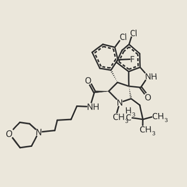 CN1C(CC(C)(C)C)[C@]2(C(=O)Nc3cc(Cl)ccc32)[C@@H](c2cccc(Cl)c2F)[C@@H]1C(=O)NCCCCN1CCOCC1